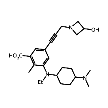 CCN(c1cc(C#CCN2CC(O)C2)cc(C(=O)O)c1C)C1CCC(N(C)C)CC1